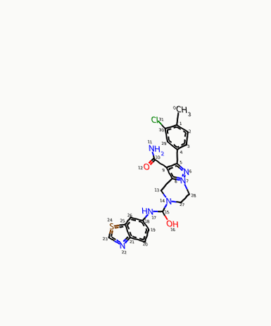 Cc1ccc(-c2nn3c(c2C(N)=O)CN(C(O)Nc2ccc4ncsc4c2)CC3)cc1Cl